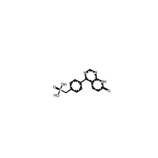 O=c1ccc2c(-c3ccc(CP(=O)(O)O)cc3)ncnc2[nH]1